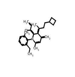 C=C/C(Cl)=C1\C(=C(/C)CCC2CCC2)C(=C)C=C(C)N1c1c(C)cccc1CC